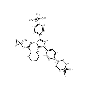 N#CC1(NC(=O)[C@@H]2CCCC[C@H]2c2oc(-c3ccc(S(=O)(=O)C(F)(F)F)cc3)nc2-c2ccc(N3CCS(=O)(=O)CC3)cc2)CC1